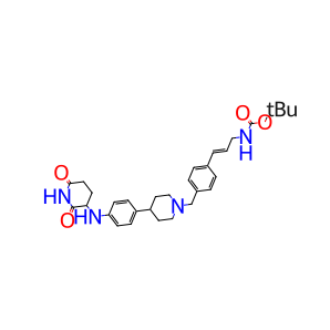 CC(C)(C)OC(=O)NC/C=C/c1ccc(CN2CCC(c3ccc(NC4CCC(=O)NC4=O)cc3)CC2)cc1